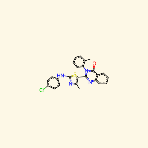 Cc1ccccc1-n1c(-c2sc(Nc3ccc(Cl)cc3)nc2C)nc2ccccc2c1=O